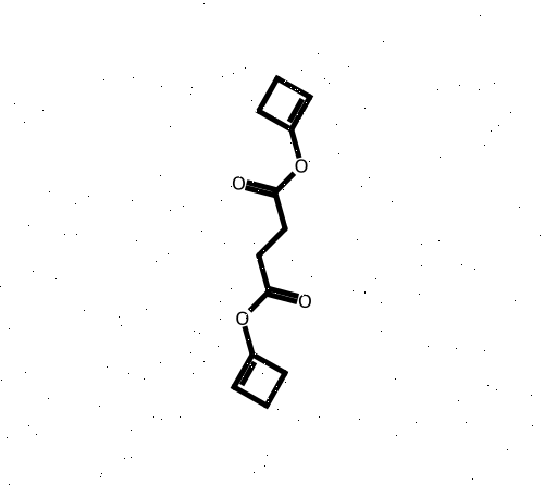 O=C(CCC(=O)OC1=CCC1)OC1=CCC1